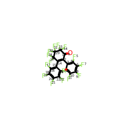 O=C1C(c2c(F)c(F)c(F)c(F)c2F)=C(c2c(F)c(F)c(F)c(F)c2F)C(F)(F)C(F)(F)C1(F)F